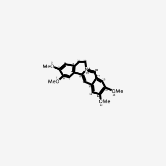 COc1cc2c(cc1OC)-c1cc3cc(OC)c(OC)cc3c[n+]1CC2